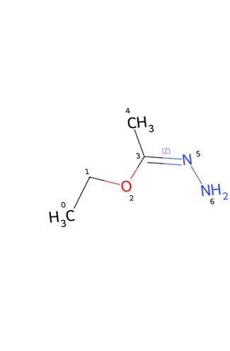 CCO/C(C)=N\N